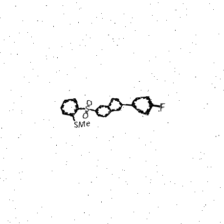 CSc1ccccc1S(=O)(=O)c1ccc2cc(-c3ccc(F)cc3)ccc2c1